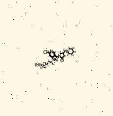 C[C@@H](CCO[Si](C)(C)C(C)(C)C)n1nc(N2CC(CN3CCCCC3)CC2=O)c2cnc(Cl)cc21